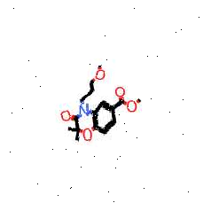 COCCCN1C(=O)C(C)(C)Oc2ccc(C(=O)OC)cc21